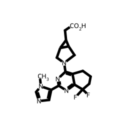 Cn1cncc1-c1nc(N2CC3C(CC(=O)O)C3C2)c2c(n1)C(F)(F)CCC2